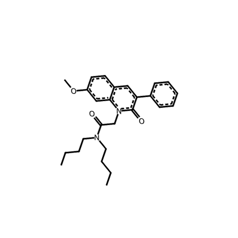 CCCCN(CCCC)C(=O)Cn1c(=O)c(-c2ccccc2)cc2ccc(OC)cc21